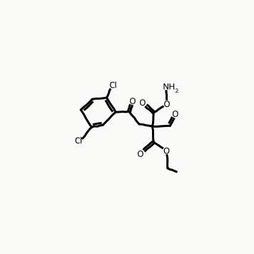 CCOC(=O)C(C=O)(CC(=O)c1cc(Cl)ccc1Cl)C(=O)ON